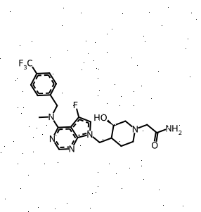 CN(Cc1ccc(C(F)(F)F)cc1)c1ncnc2c1c(F)cn2CC1CCN(CC(N)=O)C[C@@H]1O